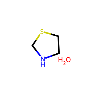 C1CSCN1.O